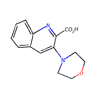 O=C(O)c1nc2ccccc2cc1N1CCOCC1